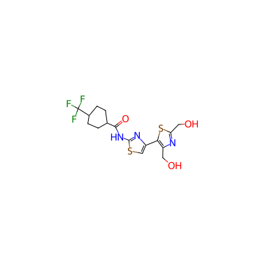 O=C(Nc1nc(-c2sc(CO)nc2CO)cs1)C1CCC(C(F)(F)F)CC1